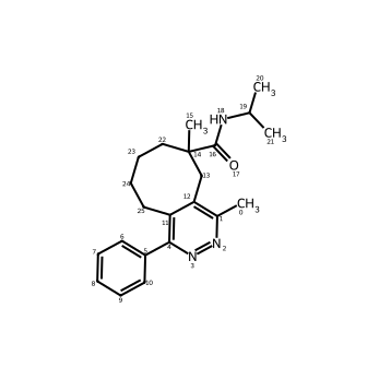 Cc1nnc(-c2ccccc2)c2c1CC(C)(C(=O)NC(C)C)CCCC2